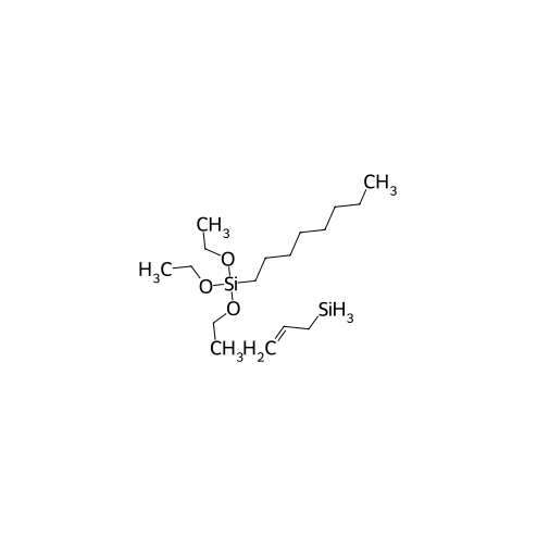 C=CC[SiH3].CCCCCCCC[Si](OCC)(OCC)OCC